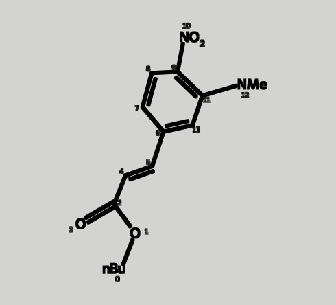 CCCCOC(=O)C=Cc1ccc([N+](=O)[O-])c(NC)c1